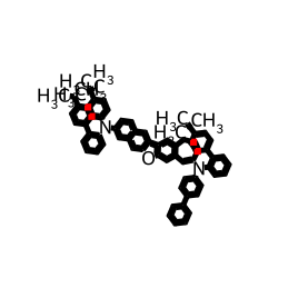 CC(C)c1ccc(-c2ccccc2N(c2ccc(C(C)(C)C)cc2)c2ccc3cc4c(cc3c2)oc2cc3c(cc24)CC#CC(N(c2ccc(-c4ccccc4)cc2)c2ccccc2C2=CC=C(C(C)(C)C)CC2)=C3)cc1